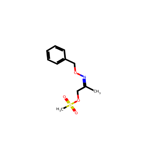 CC(COS(C)(=O)=O)=NOCc1ccccc1